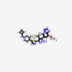 COc1cc(-c2[nH]nc(-c3ncc(C4CCN(CC5CCC5)CC4)s3)c2C(C)C)cn2ncnc12